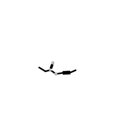 CC#COS(=O)CC